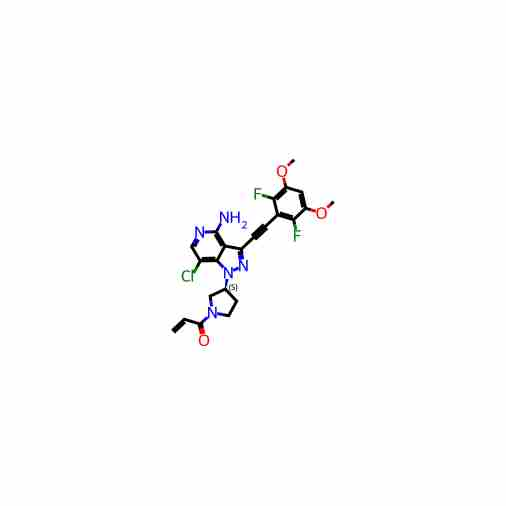 C=CC(=O)N1CC[C@H](n2nc(C#Cc3c(F)c(OC)cc(OC)c3F)c3c(N)ncc(Cl)c32)C1